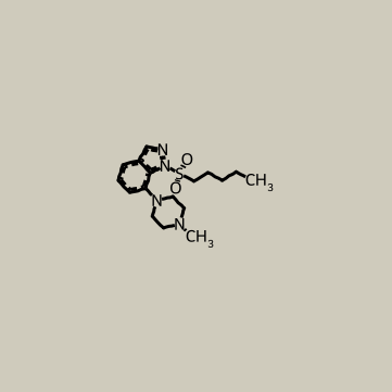 CCCCCS(=O)(=O)n1ncc2cccc(N3CCN(C)CC3)c21